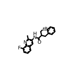 Cc1nc2c(F)cccc2cc1NC(=O)C(Cc1ccccc1)CC(C)(C)C